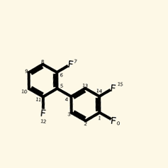 Fc1ccc(-c2c(F)cccc2F)cc1F